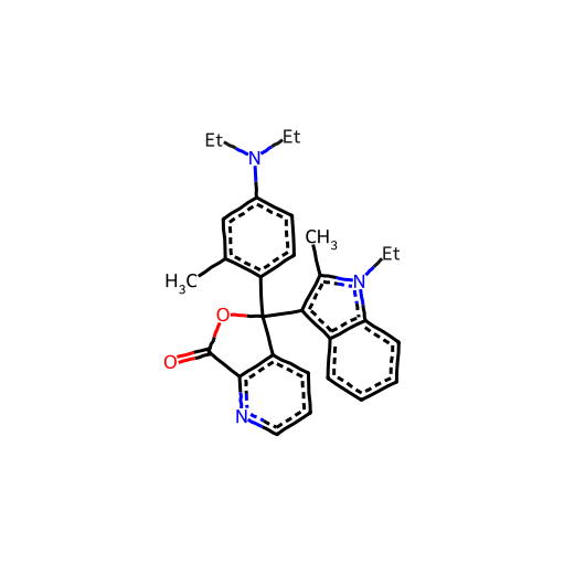 CCN(CC)c1ccc(C2(c3c(C)n(CC)c4ccccc34)OC(=O)c3ncccc32)c(C)c1